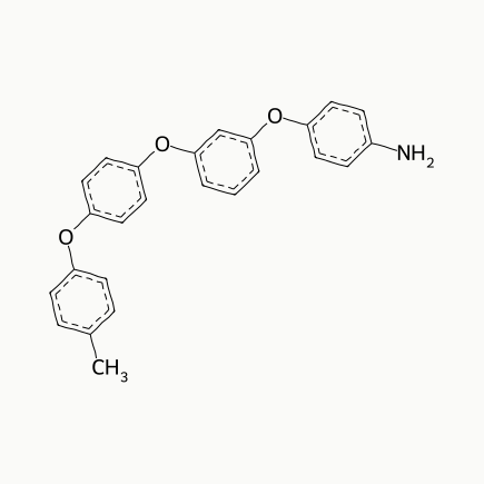 Cc1ccc(Oc2ccc(Oc3cccc(Oc4ccc(N)cc4)c3)cc2)cc1